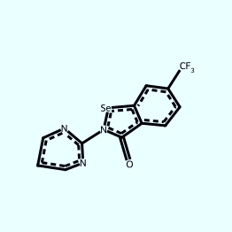 O=c1c2ccc(C(F)(F)F)cc2[se]n1-c1ncccn1